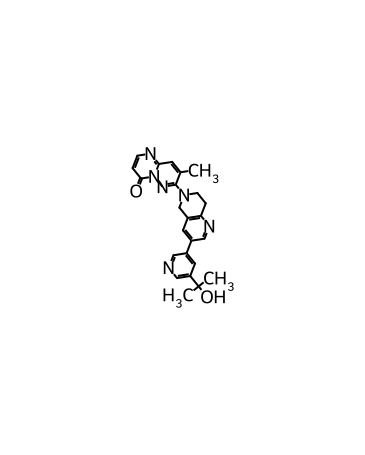 Cc1cc2nccc(=O)n2nc1N1CCc2ncc(-c3cncc(C(C)(C)O)c3)cc2C1